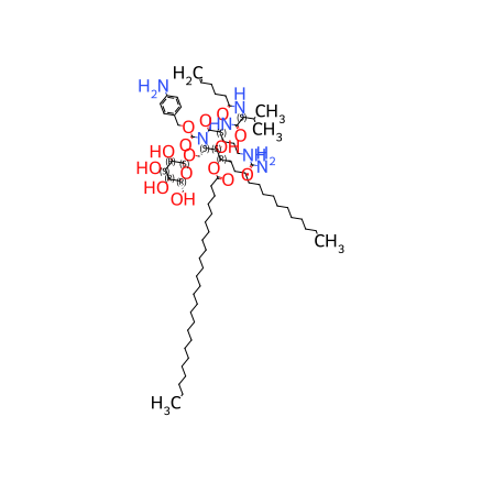 C=CCCCC(=O)N[C@H](C(=O)N[C@@H](CCCNC(N)=O)C(=O)N(C(=O)OCc1ccc(N)cc1)[C@@H](CO[C@H]1O[C@H](CO)[C@H](O)[C@H](O)[C@H]1O)[C@H](O)[C@@H](CCCCCCCCCCCCCC)OC(=O)CCCCCCCCCCCCCCCCCCCCCCCCC)C(C)C